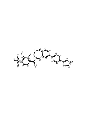 Cc1c(C(=O)N2CCOc3ccc(-c4ccc(-c5c[nH]cn5)cc4)cc3C2)ccc(S(C)(=O)=O)c1F